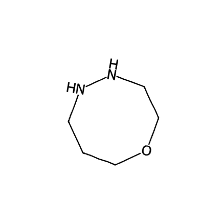 C1CNNCCOC1